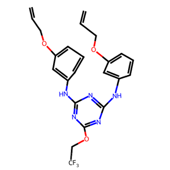 C=CCOc1cccc(Nc2nc(Nc3cccc(OCC=C)c3)nc(OCC(F)(F)F)n2)c1